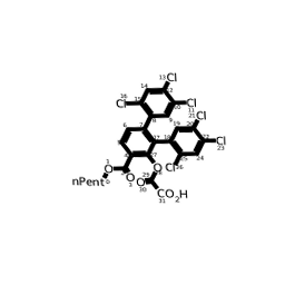 CCCCCOC(=O)c1ccc(-c2cc(Cl)c(Cl)cc2Cl)c(-c2cc(Cl)c(Cl)cc2Cl)c1OC(=O)C(=O)O